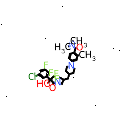 Cc1cc(N2CCC(CC3CN(C(=O)[C@](O)(c4cc(F)cc(Cl)c4)C(F)(F)F)C3)CC2)ccc1C(=O)N(C)C